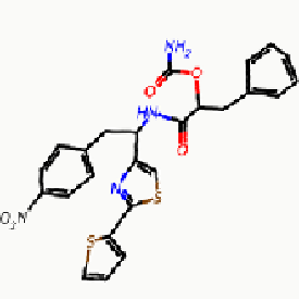 NC(=O)OC(Cc1ccccc1)C(=O)NC(Cc1ccc([N+](=O)[O-])cc1)c1csc(-c2cccs2)n1